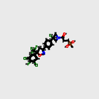 CS(=O)(=O)CCC(=O)N1CC(F)(c2ccc(C3=NOC(c4cc(Cl)c(F)c(Cl)c4)(C(F)(F)F)C3)cc2)C1